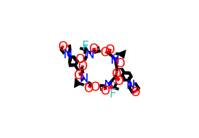 C[C@H]1OC(=O)[C@H](CC2CC2)N(C)C(=O)[C@@H](Cc2ccc(N3CCOCC3)cc2)OC(=O)[C@H](CC(C)(C)F)N(C)C(=O)[C@@H](C)OC(=O)[C@H](CC2CC2)N(C)C(=O)[C@@H](Cc2ccc(N3CCOCC3)cc2)OC(=O)[C@H](CC(C)(C)F)N(C)C1=O